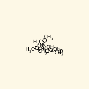 C1CCOC1.Cc1ccc(-c2nc(-c3ccc(C)cc3C)nc(-c3cccc(OCC(C)O)c3O)n2)c(C)c1